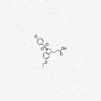 CCOc1ccc2c(c1)C(CCC(=O)O)CN2S(=O)(=O)c1ccc(OC)cc1